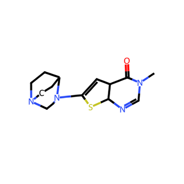 CN1C=NC2SC(N3CCN4CCC3CC4)=CC2C1=O